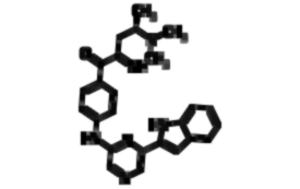 C[C@H](CC(=N)C(=O)c1ccc(Nc2cncc(-c3cc4ccccc4[nH]3)n2)cc1)N(C)C